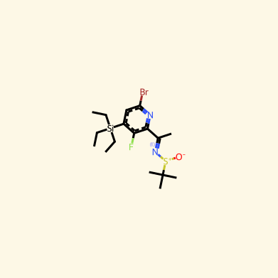 CC[Si](CC)(CC)c1cc(Br)nc(/C(C)=N/[S+]([O-])C(C)(C)C)c1F